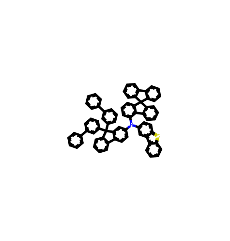 c1ccc(-c2cccc(C3(c4cccc(-c5ccccc5)c4)c4ccccc4-c4ccc(N(c5ccc6sc7ccccc7c6c5)c5cccc6c5-c5ccccc5C65c6ccccc6-c6ccccc65)cc43)c2)cc1